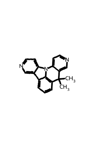 CC1(C)c2cnccc2-n2c3ccncc3c3cccc1c32